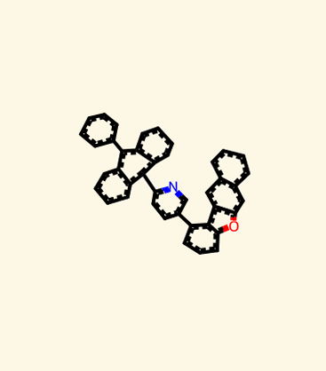 c1ccc(-c2c3ccccc3c(-c3ccc(-c4cccc5oc6cc7ccccc7cc6c45)cn3)c3ccccc23)cc1